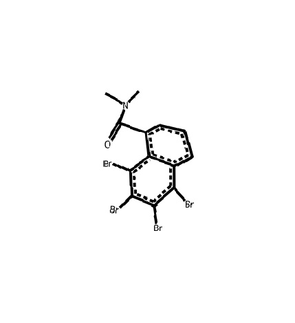 CN(C)C(=O)c1cccc2c(Br)c(Br)c(Br)c(Br)c12